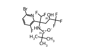 CC(C)(C)[S@@+]([O-])NC(C[C@@H](O)C(F)(F)F)(c1nc(Br)ccc1F)C(F)F